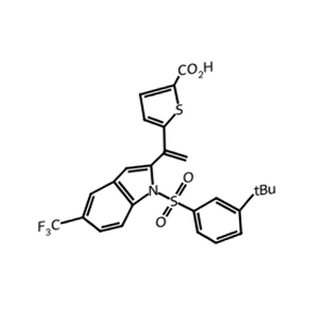 C=C(c1ccc(C(=O)O)s1)c1cc2cc(C(F)(F)F)ccc2n1S(=O)(=O)c1cccc(C(C)(C)C)c1